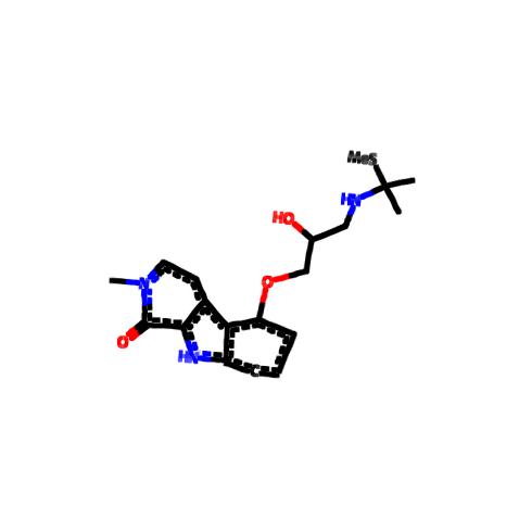 CSC(C)(C)NCC(O)COc1cccc2[nH]c3c(=O)n(C)ccc3c12